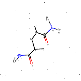 CCNC(=O)C(C)CC(C)C(=O)N(CC)CC